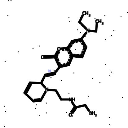 BCC(=O)NCCN1C=CC=CC1/C=C/c1cc2ccc(N(CC)CC)cc2oc1=O